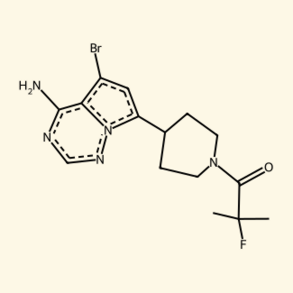 CC(C)(F)C(=O)N1CCC(c2cc(Br)c3c(N)ncnn23)CC1